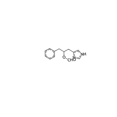 O=COC(Cc1ccccc1)Cc1c[nH]cn1